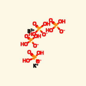 O=P([O-])(O)O.O=P([O-])(O)O.O=P([O-])(O)O.O=P([O-])(O)O.[B+3].[K+]